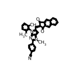 Cc1cccc(C)c1-n1c(C=C2C(=O)c3cc4ccccc4cc3C2=O)cc2c1nc(-c1ccc(C#N)cc1)n2C